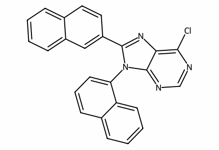 Clc1ncnc2c1nc(-c1ccc3ccccc3c1)n2-c1cccc2ccccc12